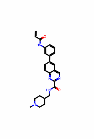 C=CC(=O)Nc1cccc(-c2ccc3nc(C(=O)NCC4CCN(C)CC4)ncc3c2)c1